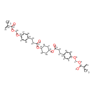 C=C(C(=O)OCOc1ccc(CCC(=O)OC2CCC(OC(=O)CCc3ccc(OCOC(=O)C(=C)C(F)(F)F)cc3)CC2)cc1)C(F)(F)F